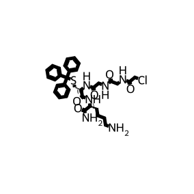 NCCCC[C@H](NC(=O)[C@H](CSC(c1ccccc1)(c1ccccc1)c1ccccc1)NC(=O)CNC(=O)CNC(=O)CCl)C(N)=O